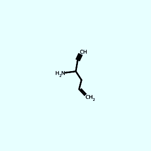 C#CC(N)CC=C